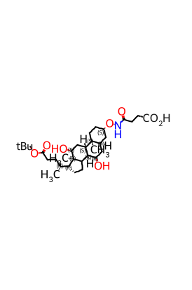 C[C@H](CCC(=O)OC(C)(C)C)[C@H]1CCC2[C@@H]3[C@H](O)C[C@@H]4C[C@@H](ONC(=O)CCC(=O)O)CC[C@]4(C)[C@H]3C[C@H](O)[C@@]21C